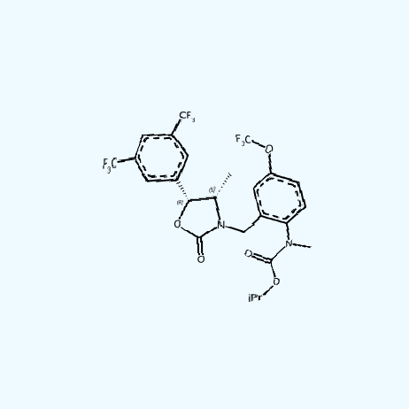 CC(C)OC(=O)N(C)c1ccc(OC(F)(F)F)cc1CN1C(=O)O[C@H](c2cc(C(F)(F)F)cc(C(F)(F)F)c2)[C@@H]1C